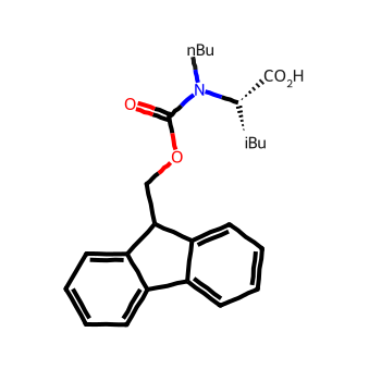 CCCCN(C(=O)OCC1c2ccccc2-c2ccccc21)[C@H](C(=O)O)[C@@H](C)CC